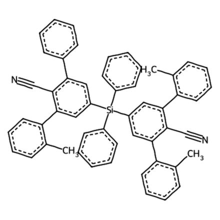 Cc1ccccc1-c1cc([Si](c2ccccc2)(c2ccccc2)c2cc(-c3ccccc3C)c(C#N)c(-c3ccccc3C)c2)cc(-c2ccccc2)c1C#N